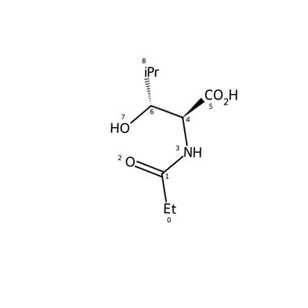 CCC(=O)N[C@H](C(=O)O)[C@H](O)C(C)C